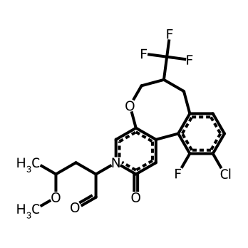 COC(C)CC(C=O)n1cc2c(cc1=O)-c1c(ccc(Cl)c1F)CC(C(F)(F)F)CO2